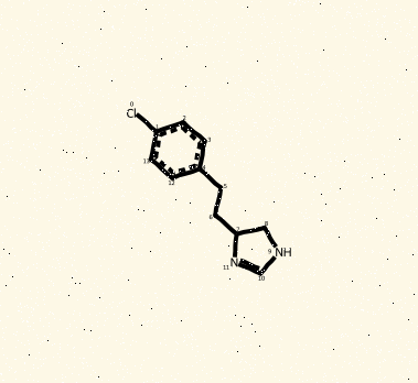 Clc1ccc(CCC2CNC=N2)cc1